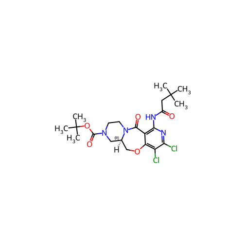 CC(C)(C)CC(=O)Nc1nc(Cl)c(Cl)c2c1C(=O)N1CCN(C(=O)OC(C)(C)C)C[C@@H]1CO2